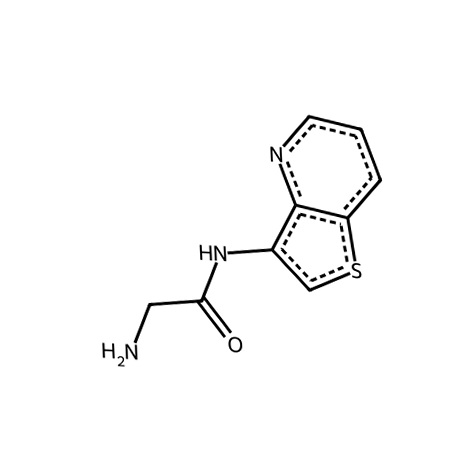 NCC(=O)Nc1csc2cccnc12